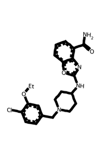 CCOc1cc(CN2CCC(Nc3nc4c(C(N)=O)[c]ccc4o3)CC2)ccc1Cl